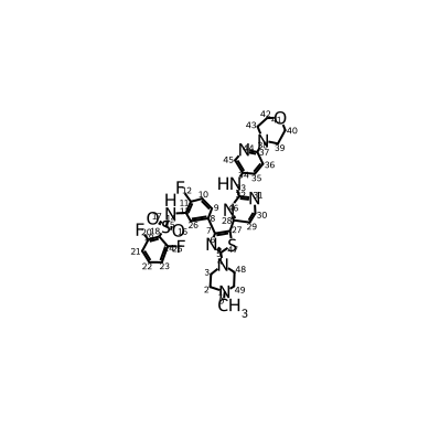 CN1CCN(c2nc(-c3ccc(F)c(NS(=O)(=O)c4c(F)cccc4F)c3)c(-c3ccnc(Nc4ccc(N5CCOCC5)nc4)n3)s2)CC1